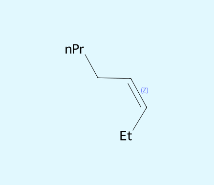 [CH2]CCC/C=C\CC